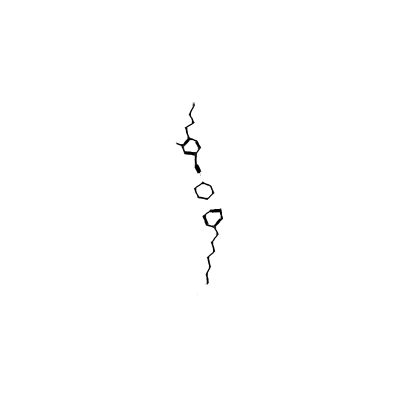 CCCCCCCCc1ccc([C@H]2CC[C@H](C#Cc3ccc(CCCCC)c(F)c3)CC2)cc1